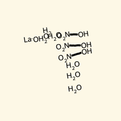 O.O.O.O.O.O.O=[N+]([O-])O.O=[N+]([O-])O.O=[N+]([O-])O.[La]